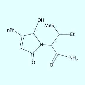 CCCC1=CC(=O)N(C(C(N)=O)C(CC)SC)C1O